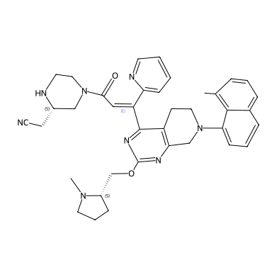 Cc1cccc2cccc(N3CCc4c(nc(OC[C@@H]5CCCN5C)nc4/C(=C/C(=O)N4CCN[C@@H](CC#N)C4)c4ccccn4)C3)c12